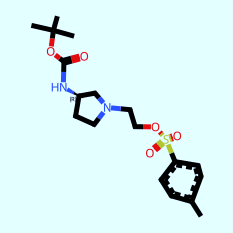 Cc1ccc(S(=O)(=O)OCCN2CC[C@@H](NC(=O)OC(C)(C)C)C2)cc1